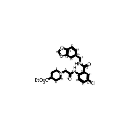 CCOC(=O)C1CCN(CC(=O)Nc2ccc(Cl)cc2C(=O)NCc2ccc3c(c2)OCO3)CC1